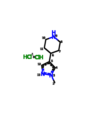 Cl.Cl.Cn1cc(C2CCNCC2)cn1